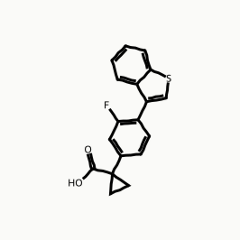 O=C(O)C1(c2ccc(-c3csc4ccccc34)c(F)c2)CC1